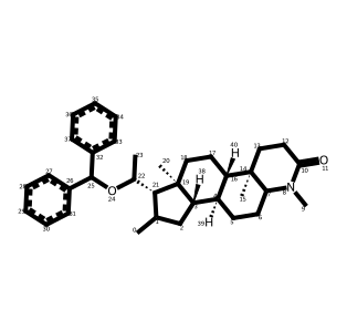 CC1C[C@H]2[C@@H]3CCC4N(C)C(=O)CC[C@]4(C)[C@H]3CC[C@]2(C)[C@H]1C(C)OC(c1ccccc1)c1ccccc1